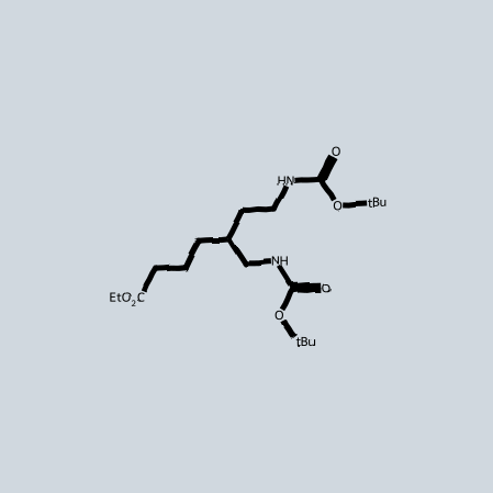 CCOC(=O)CCCC(CCNC(=O)OC(C)(C)C)CNC(=O)OC(C)(C)C